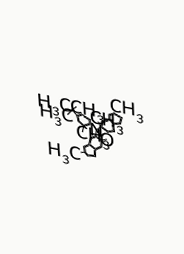 Cc1ccc2cc3c(cc2c1)N(c1c(C)cc(C(C)(C)C)cc1C)c1cc2cc(C)ccc2cc1O3